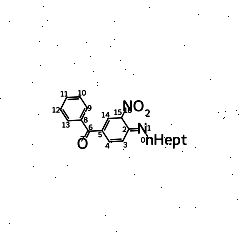 CCCCCCCN=C1C=CC(C(=O)c2ccccc2)=CC1[N+](=O)[O-]